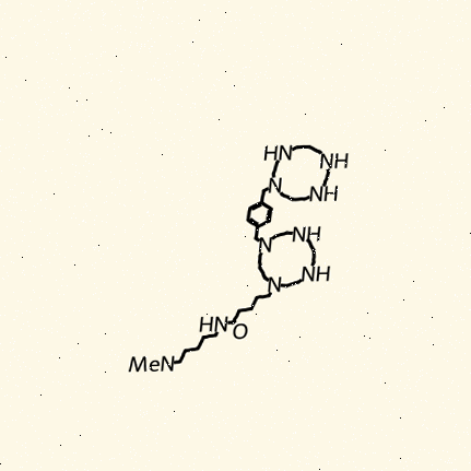 CNCCCCCNC(=O)CCCCN1CCCN(Cc2ccc(CN3CCCNCCNCCCNCC3)cc2)CCNCCCNCC1